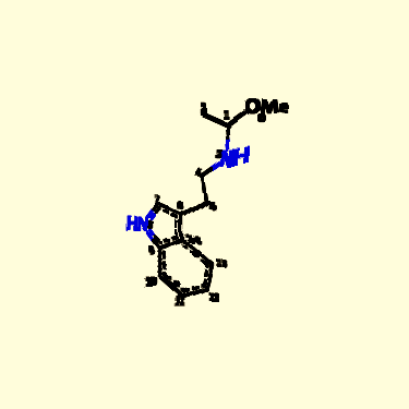 COC(C)NCCc1c[nH]c2ccccc12